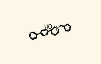 O[C@]1(c2ccc(-c3ccccc3)cc2)CCCN(CC2CCCC2)C1